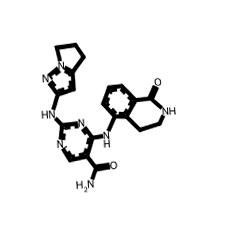 NC(=O)c1cnc(Nc2cc3n(n2)CCC3)nc1Nc1cccc2c1CCNC2=O